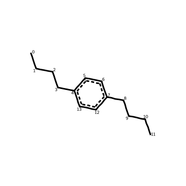 CCCCc1[c]cc(CCCC)cc1